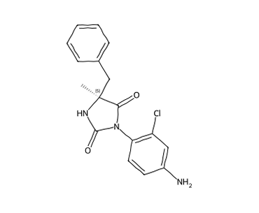 C[C@@]1(Cc2ccccc2)NC(=O)N(c2ccc(N)cc2Cl)C1=O